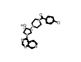 O=C(c1ccc(Cl)cc1)N1CCN([C@H]2CN(c3ncnc4cnccc34)C[C@@H]2O)CC1